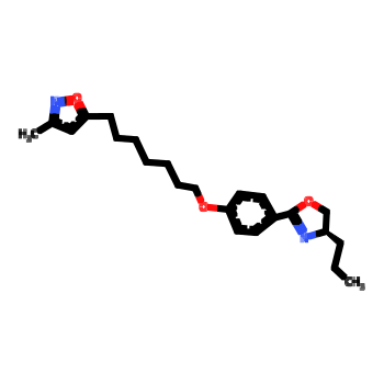 CCC[C@@H]1COC(c2ccc(OCCCCCCCc3cc(C)no3)cc2)=N1